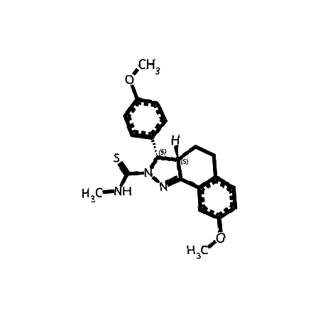 CNC(=S)N1N=C2c3cc(OC)ccc3CC[C@H]2[C@H]1c1ccc(OC)cc1